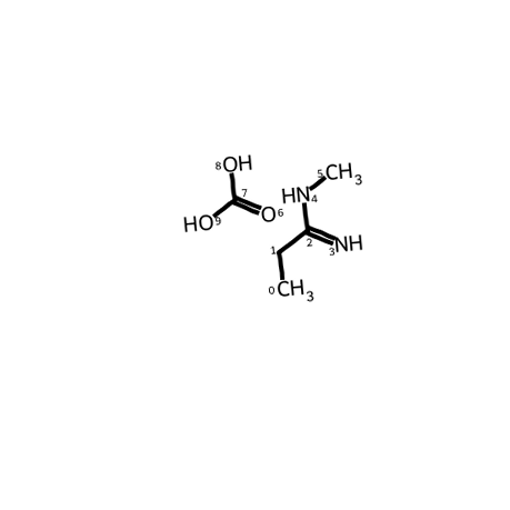 CCC(=N)NC.O=C(O)O